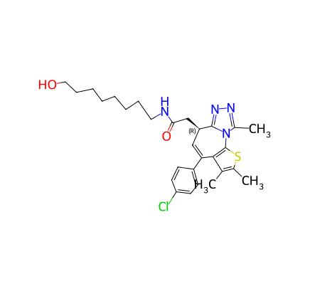 Cc1sc2c(c1C)C(c1ccc(Cl)cc1)=C[C@@H](CC(=O)NCCCCCCCCO)c1nnc(C)n1-2